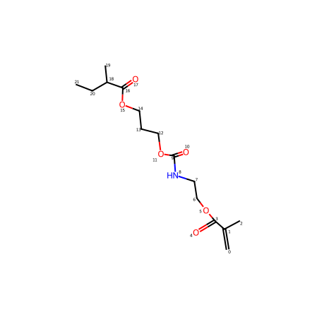 C=C(C)C(=O)OCCNC(=O)OCCCOC(=O)C(C)CC